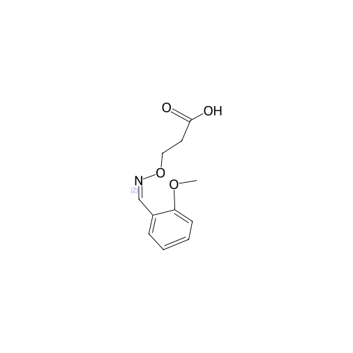 COc1ccccc1/C=N\OCCC(=O)O